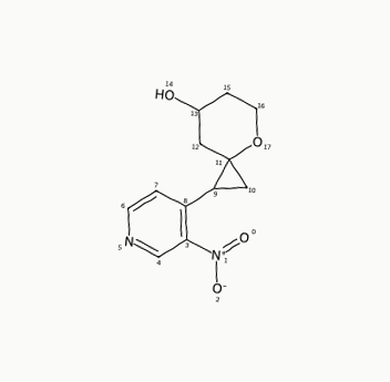 O=[N+]([O-])c1cnccc1C1CC12CC(O)CCO2